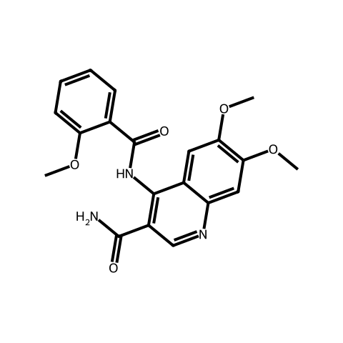 COc1cc2ncc(C(N)=O)c(NC(=O)c3ccccc3OC)c2cc1OC